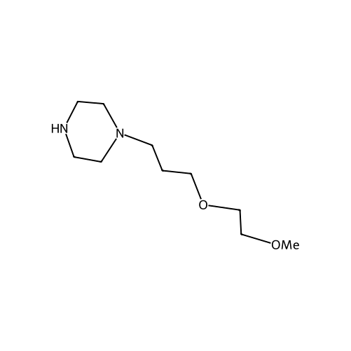 COCCOCCCN1CCNCC1